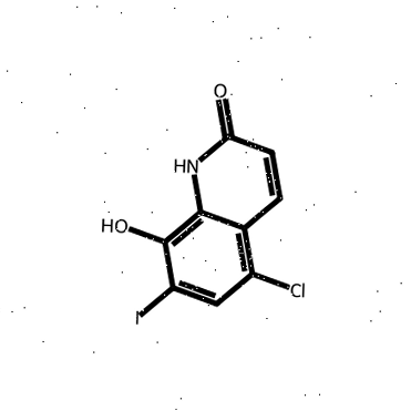 O=c1ccc2c(Cl)cc(I)c(O)c2[nH]1